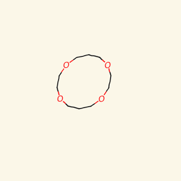 C1COCCOCCCOCCOC1